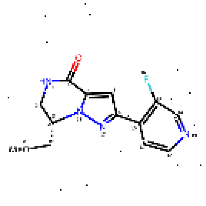 COC[C@@H]1CNC(=O)c2cc(-c3ccncc3F)nn21